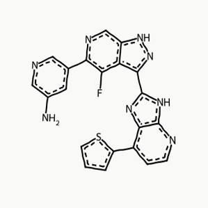 Nc1cncc(-c2ncc3[nH]nc(-c4nc5c(-c6cccs6)ccnc5[nH]4)c3c2F)c1